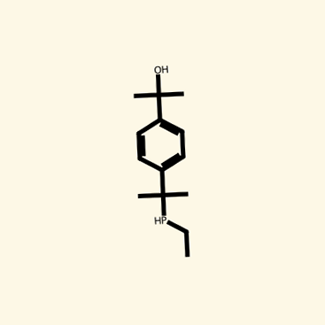 CCPC(C)(C)c1ccc(C(C)(C)O)cc1